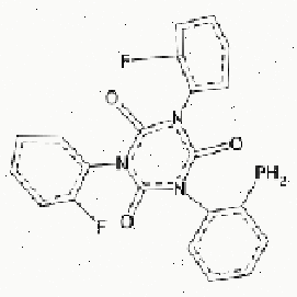 O=c1n(-c2ccccc2F)c(=O)n(-c2ccccc2P)c(=O)n1-c1ccccc1F